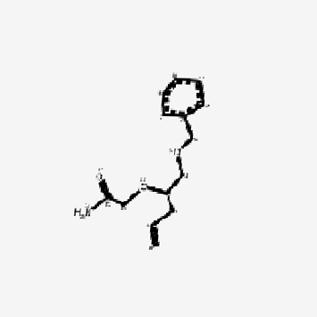 C=CC[C@H](COCc1ccccc1)OCC(N)=O